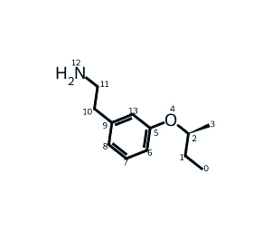 CC[C@H](C)Oc1cccc(CCN)c1